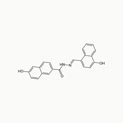 O=C(N/N=C/c1ccc(O)c2ccccc12)c1ccc2cc(O)ccc2c1